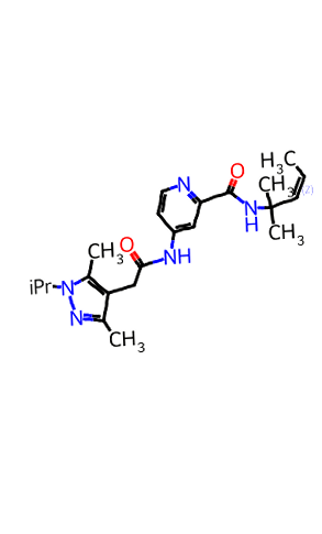 C/C=C\C(C)(C)NC(=O)c1cc(NC(=O)Cc2c(C)nn(C(C)C)c2C)ccn1